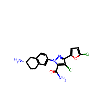 NC(=O)c1c(Cl)c(-c2ccc(Cl)o2)nn1-c1ccc2c(c1)CC[C@H](N)C2